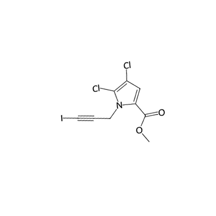 COC(=O)c1cc(Cl)c(Cl)n1CC#CI